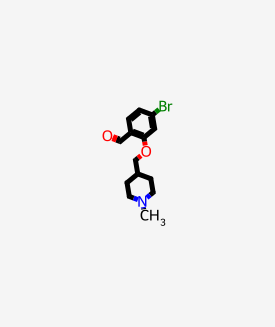 CN1CCC(COc2cc(Br)ccc2C=O)CC1